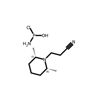 C[C@@H]1CCC[C@H](C)N1CCC#N.NP(O)Cl